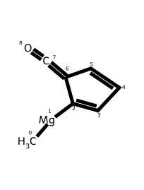 [CH3][Mg][C]1=CC=CC1=C=O